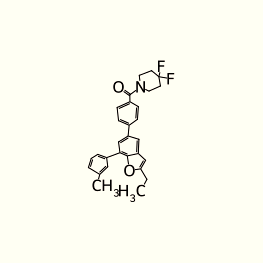 CCc1cc2cc(-c3ccc(C(=O)N4CCC(F)(F)CC4)cc3)cc(-c3cccc(C)c3)c2o1